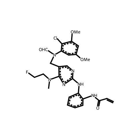 C=CC(=O)Nc1ccccc1Nc1ncc(CN(C=O)c2cc(OC)cc(OC)c2Cl)c(N(C)CCF)n1